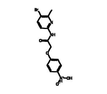 Cc1nc(NC(=O)COc2ccc([NH+]([O-])O)cc2)ccc1Br